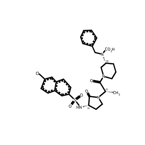 C[C@@H](C(=O)N1CCC[C@@H](N(Cc2ccccc2)C(=O)O)C1)N1CC[C@H](NS(=O)(=O)c2ccc3cc(Cl)ccc3c2)C1=O